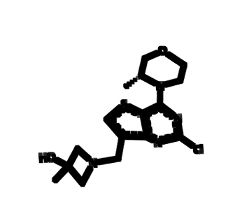 C[C@@H]1COCCN1c1nc(Cl)nc2c(CN3CC(C)(O)C3)csc12